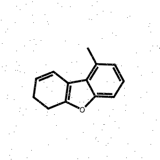 Cc1cccc2oc3c(c12)C=CCC3